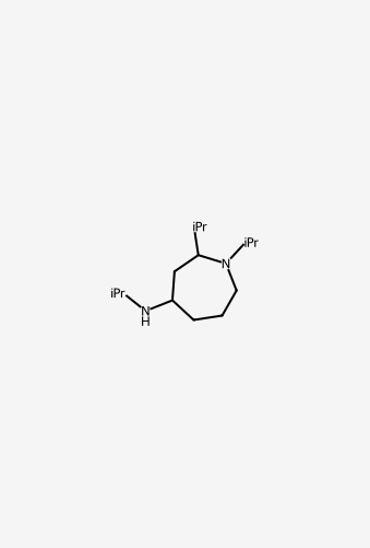 CC(C)NC1CCCN(C(C)C)C(C(C)C)C1